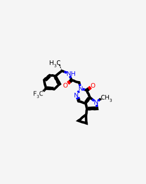 C[C@H](NC(=O)Cn1ncc2c(C3CC3)cn(C)c2c1=O)c1ccc(C(F)(F)F)cc1